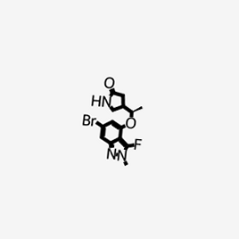 C[C@@H](Oc1cc(Br)cc2nn(C)c(F)c12)C1CNC(=O)C1